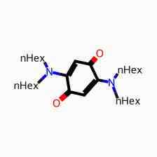 CCCCCCN(CCCCCC)C1=CC(=O)C(N(CCCCCC)CCCCCC)=CC1=O